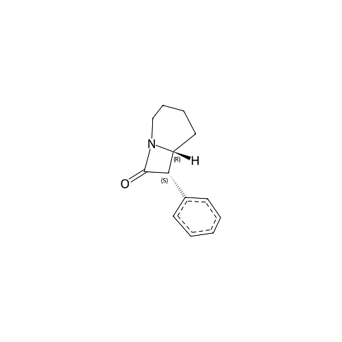 O=C1[C@@H](c2ccccc2)[C@H]2CCCCN12